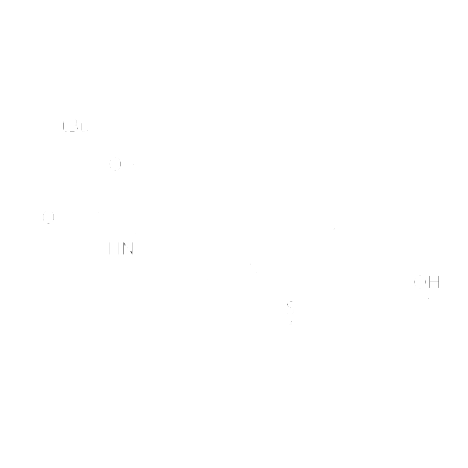 CC(O)c1ccc(CCNC(=O)OC(C)(C)C)s1